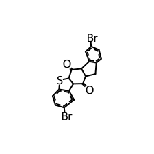 O=C1C2Sc3ccc(Br)cc3C2C(=O)C2Cc3ccc(Br)cc3C12